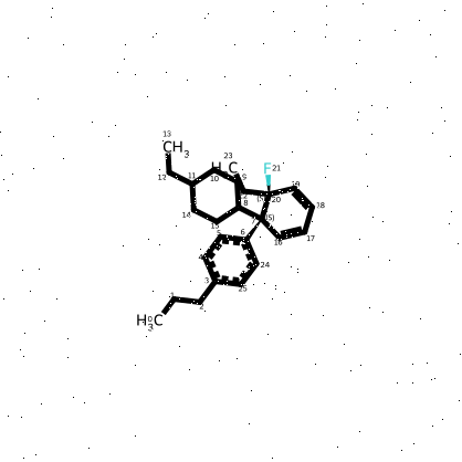 CCCc1ccc([C@]2(C3CCC(CC)CC3)C=CC=C[C@@]2(F)CC)cc1